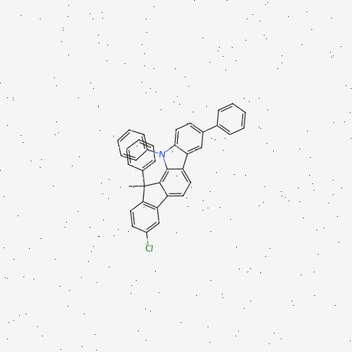 CC1(c2ccccc2)c2ccc(Cl)cc2-c2ccc3c4cc(-c5ccccc5)ccc4n(-c4ccccc4)c3c21